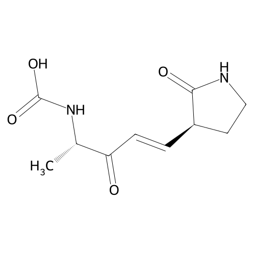 C[C@H](NC(=O)O)C(=O)C=C[C@@H]1CCNC1=O